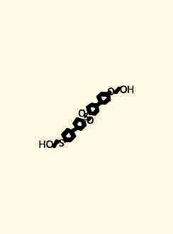 O=S(=O)(c1ccc(-c2ccc(OCCO)cc2)cc1)c1ccc(-c2ccc(SCCO)cc2)cc1